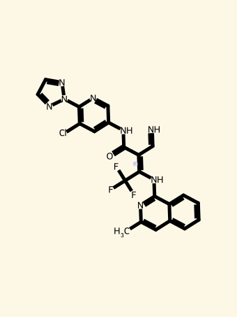 Cc1cc2ccccc2c(N/C(=C(\C=N)C(=O)Nc2cnc(-n3nccn3)c(Cl)c2)C(F)(F)F)n1